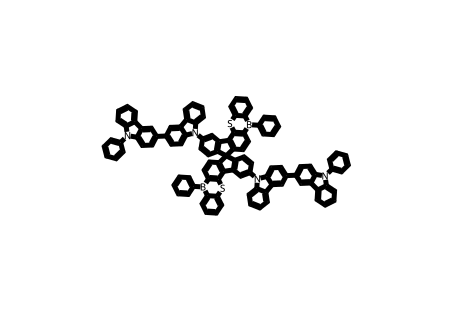 c1ccc(B2c3ccccc3Sc3c2ccc2c3-c3cc(-n4c5ccccc5c5cc(-c6ccc7c(c6)c6ccccc6n7-c6ccccc6)ccc54)ccc3C23c2ccc(-n4c5ccccc5c5cc(-c6ccc7c(c6)c6ccccc6n7-c6ccccc6)ccc54)cc2-c2c3ccc3c2Sc2ccccc2B3c2ccccc2)cc1